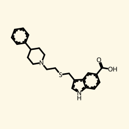 O=C(O)c1ccc2[nH]cc(CSCCN3CCC(c4ccccc4)CC3)c2c1